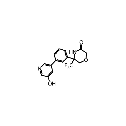 O=C1COCC(c2cccc(-c3cncc(O)c3)c2)(C(F)(F)F)N1